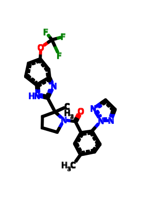 Cc1ccc(-n2nccn2)c(C(=O)N2CCCC2(C)c2nc3cc(OC(F)(F)F)ccc3[nH]2)c1